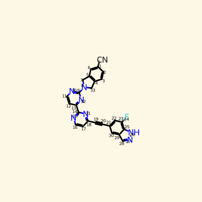 N#Cc1ccc2c(c1)CN(c1nccc(-c3nccc(C#Cc4cc(F)c5[nH]ncc5c4)n3)n1)C2